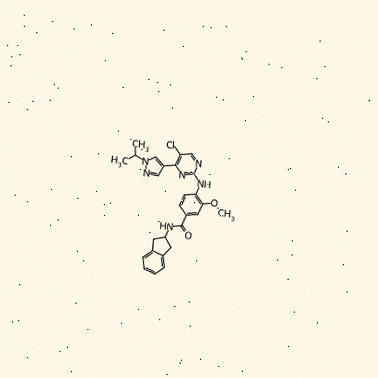 COc1cc(C(=O)NC2Cc3ccccc3C2)ccc1Nc1ncc(Cl)c(-c2cnn(C(C)C)c2)n1